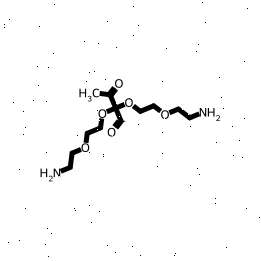 CC(=O)C([C]=O)(OCCOCCN)OCCOCCN